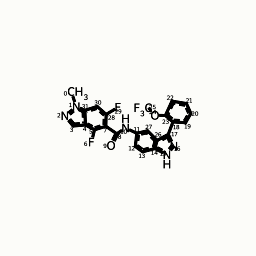 Cn1ncc2c(F)c(C(=O)Nc3ccc4[nH]nc(-c5ccccc5OC(F)(F)F)c4c3)c(F)cc21